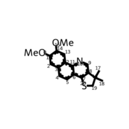 COc1cc2ccc3c4c(cnc3c2cc1OC)C(C)(C)CS4